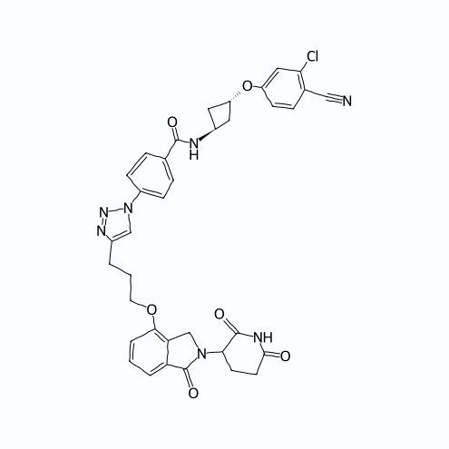 N#Cc1ccc(O[C@H]2C[C@H](NC(=O)c3ccc(-n4cc(CCCOc5cccc6c5CN(C5CCC(=O)NC5=O)C6=O)nn4)cc3)C2)cc1Cl